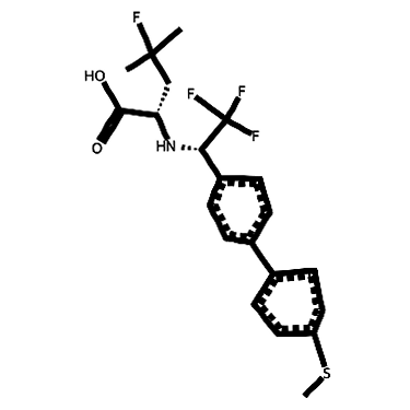 CSc1ccc(-c2ccc([C@H](N[C@@H](CC(C)(C)F)C(=O)O)C(F)(F)F)cc2)cc1